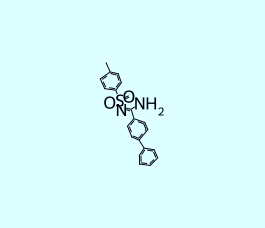 Cc1ccc(S(=O)(=O)N=C(N)c2ccc(-c3ccccc3)cc2)cc1